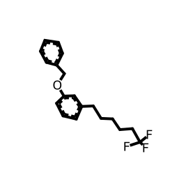 FC(F)(F)CCCCCc1cccc(OCc2ccccc2)c1